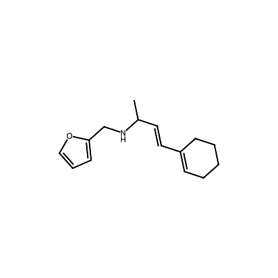 CC(C=CC1=CCCCC1)NCc1ccco1